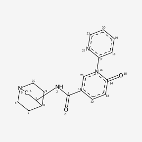 O=C(NC1CN2CCC1CC2)c1ccc(=O)n(-c2ccccn2)c1